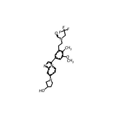 COc1cc(-c2cnc3cc(N4CCC(O)C4)ccn23)cc(CCN(C=O)CC(F)(F)F)c1C